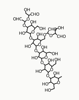 CC1OC(CO)C(O)C(OC2OC(CO)C(O)C(OC3OC(CO)C(O)C(OC4OC(COC(C=O)OC(C=O)CO)C(O)C(OC5OC(CO)C(O)C(OC(C=O)OC(C=O)CO)C5O)C4O)C3O)C2O)C1O